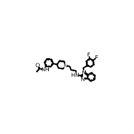 CC(=O)Nc1cccc(C2CCN(CCCNc3nc4ccccc4n3Cc3ccc(F)c(F)c3)CC2)c1